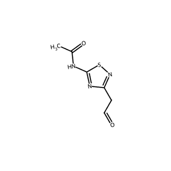 CC(=O)Nc1nc(CC=O)ns1